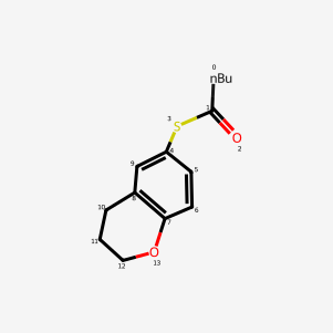 CCCCC(=O)Sc1ccc2c(c1)CCCO2